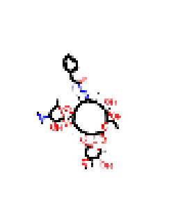 CC[C@H]1OC(=O)[C@H](C)[C@@H](OC2C[C@@](C)(OC)[C@@H](O)[C@H](C)O2)[C@H](C)[C@@H](OC2OC(C)CC(N(C)C)C2O)[C@](C)(OC)C[C@@H](C)/C(=N\NC(=O)Cc2ccccc2)[C@H](C)[C@@H](O)[C@]1(C)O